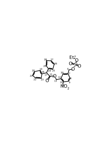 CCOS(=O)(=O)OCc1ccc([N+](=O)[O-])c(COC(=O)C(c2ccccc2)c2ccccc2)c1